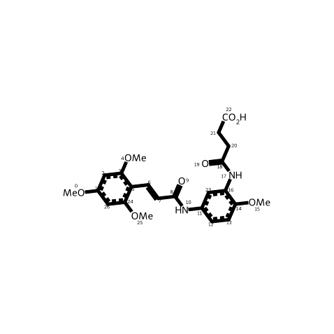 COc1cc(OC)c(/C=C/C(=O)Nc2ccc(OC)c(NC(=O)CCC(=O)O)c2)c(OC)c1